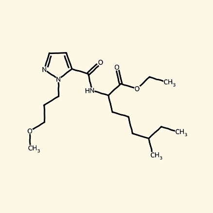 CCOC(=O)C(CCCC(C)CC)NC(=O)c1ccnn1CCCOC